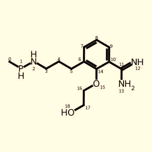 CPNCCCc1cccc(C(=N)N)c1OCCO